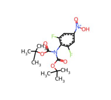 CC(C)(C)OC(=O)N(C(=O)OC(C)(C)C)c1c(F)cc([N+](=O)O)cc1F